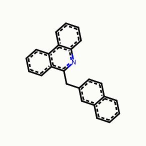 c1ccc2cc(Cc3nc4ccccc4c4ccccc34)ccc2c1